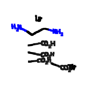 CC(=O)O.CC(=O)O.CC(=O)O.CC(=O)O.NCCN.[La].[Tb]